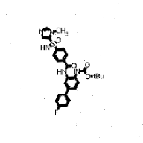 Cn1cncc1S(=N)(=O)c1ccc(C(=O)Nc2cc(-c3ccc(F)cc3)ccc2NC(=O)OC(C)(C)C)cc1